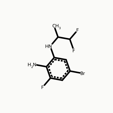 CC(Nc1cc(Br)cc(F)c1N)C(F)F